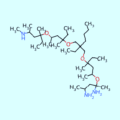 CCCCC(CC)(COC(C)(CC)CC(C)OC(C)(N)CC(C)N)COC(C)(CC)CC(C)OC(C)(CC)CC(C)NC